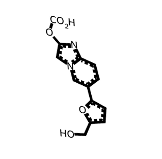 O=C(O)Oc1cn2cc(-c3ccc(CO)o3)ccc2n1